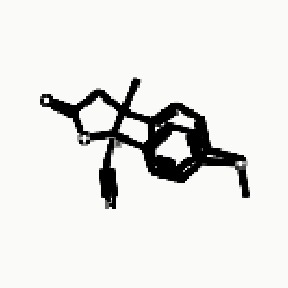 COc1ccc([C@]2(C#N)OC(=O)CC2(C)c2ccc(C)cc2)cc1